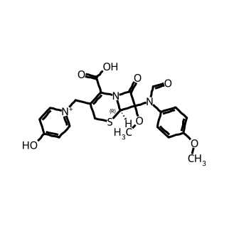 COc1ccc(N(C=O)C2(OC)C(=O)N3C(C(=O)O)=C(C[n+]4ccc(O)cc4)CS[C@@H]32)cc1